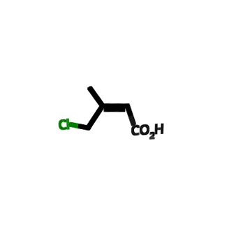 C/C(=C/C(=O)O)CCl